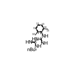 CCCCNC(=N)NC(=N)Nc1c(C)cccc1C